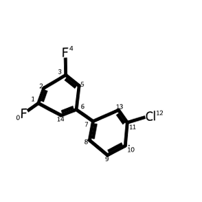 Fc1cc(F)cc(-c2cc[c]c(Cl)c2)c1